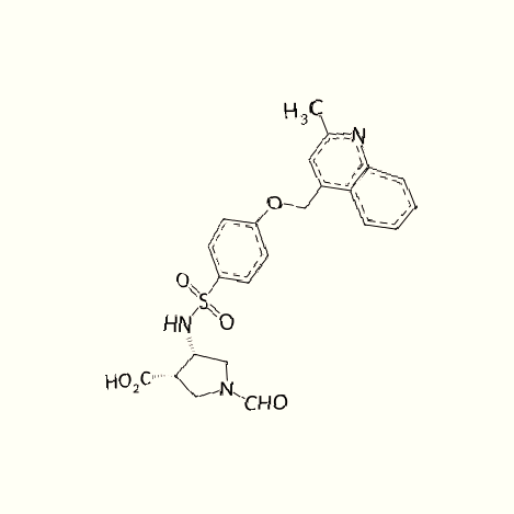 Cc1cc(COc2ccc(S(=O)(=O)N[C@@H]3CN(C=O)C[C@@H]3C(=O)O)cc2)c2ccccc2n1